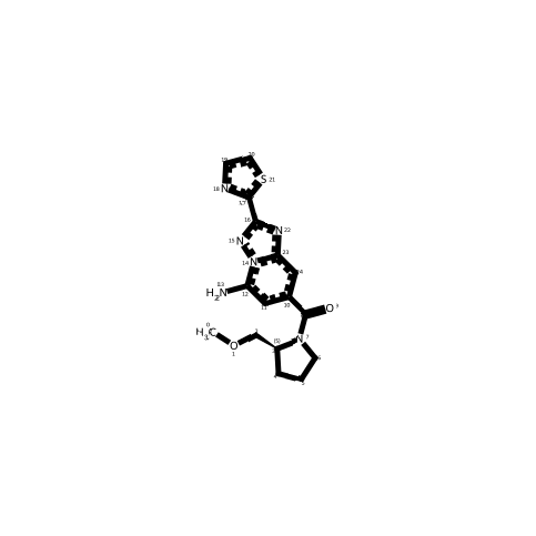 COC[C@@H]1CCCN1C(=O)c1cc(N)n2nc(-c3nccs3)nc2c1